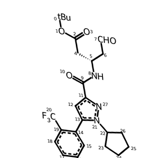 CC(C)(C)OC(=O)C[C@H](CC=O)NC(=O)c1cc(-c2ccccc2C(F)(F)F)n(C2CCCC2)n1